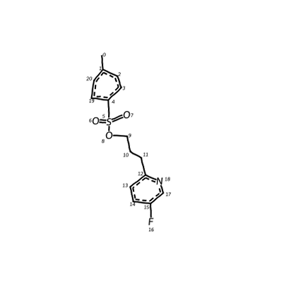 Cc1ccc(S(=O)(=O)OCCCc2ccc(F)cn2)cc1